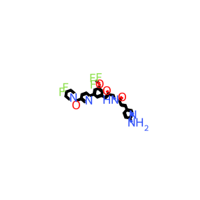 Nc1ccc(C=CC(=O)NCc2cc3cc(-c4ccc(C(=O)N5CCC(F)(F)CC5)cn4)cc(OC(F)(F)F)c3o2)cn1